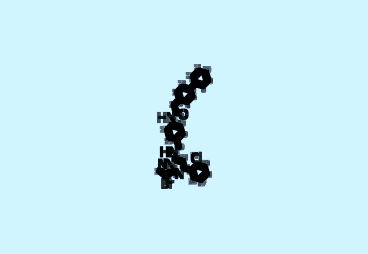 O=C(Cc1ccc(-c2ccccc2)cc1)Nc1ccc(CNc2cc(-c3ccccc3Cl)nc3c(Br)cnn23)cc1